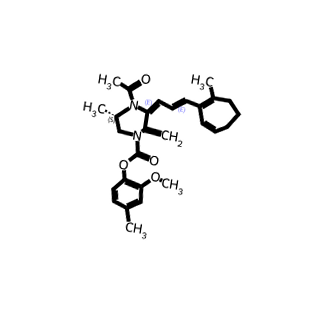 C=C1/C(=C\C=C\C2=C(C)CCCC=C2)N(C(C)=O)[C@@H](C)CN1C(=O)Oc1ccc(C)cc1OC